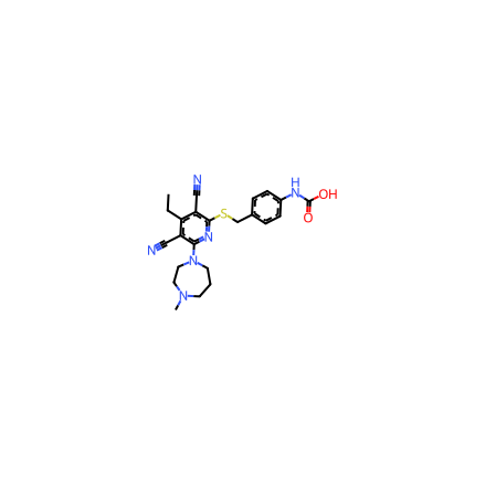 CCc1c(C#N)c(SCc2ccc(NC(=O)O)cc2)nc(N2CCCN(C)CC2)c1C#N